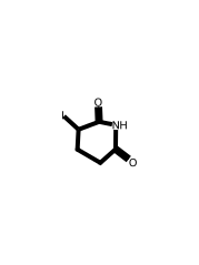 O=C1CCC(I)C(=O)N1